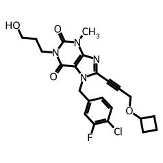 Cn1c(=O)n(CCCO)c(=O)c2c1nc(C#CCOC1CCC1)n2Cc1ccc(Cl)c(F)c1